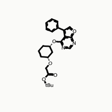 CC(C)(C)OC(=O)CO[C@@H]1CCC[C@H](Oc2ncnc3occ(-c4ccccc4)c23)C1